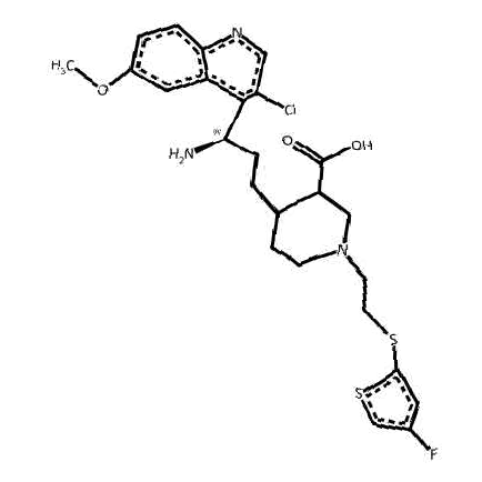 COc1ccc2ncc(Cl)c([C@H](N)CCC3CCN(CCSc4cc(F)cs4)CC3C(=O)O)c2c1